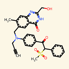 C#CCN(Cc1cc2c(=O)[nH]c(CO)nc2cc1C)c1ccc(C(=O)C(c2ccccc2)S(C)(=O)=O)cc1